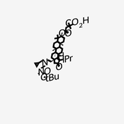 CC(C)C1=C2[C@H]3CCC4[C@@]5(C)CC[C@H](OC(=O)CC(C)(C)C(=O)O)C(C)(C)C5CC[C@@]4(C)[C@]3(C)CC[C@@]2(CCN(CCN(C)C(=O)OC(C)(C)C)CC2CC2)CC1=O